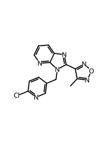 Cc1nonc1-c1nc2cccnc2n1Cc1ccc(Cl)nc1